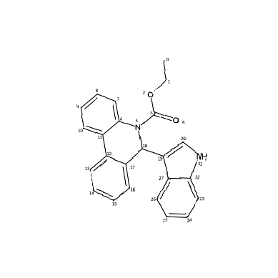 CCOC(=O)N1c2ccccc2-c2ccccc2C1c1c[nH]c2ccccc12